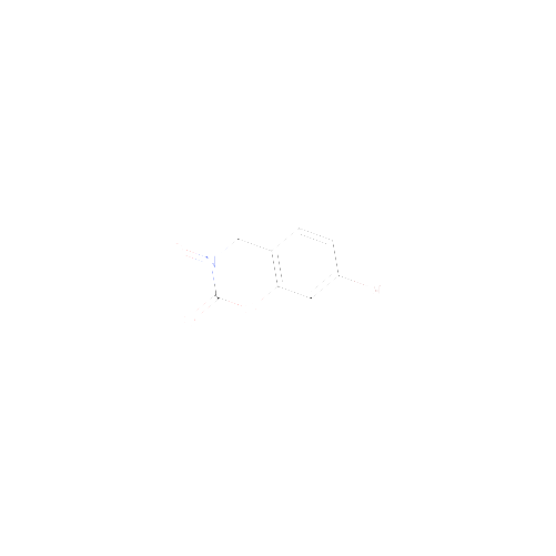 O=C1Oc2cc(Br)ccc2C[N+]1=O